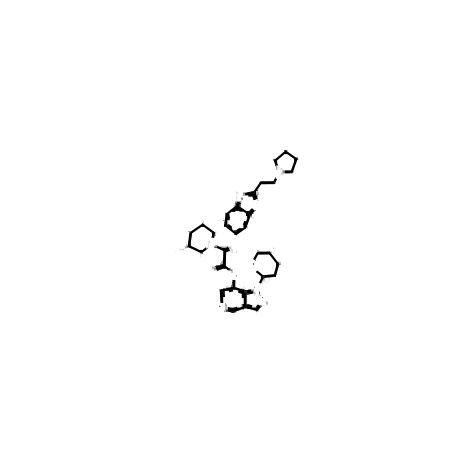 C[C@H]1CC[C@H](c2ccc3sc(CCN4CCCC4)nc3c2)N(C(=O)C(=O)Nc2cncc3cnn(C4CCCCO4)c23)C1